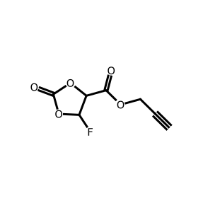 C#CCOC(=O)C1OC(=O)OC1F